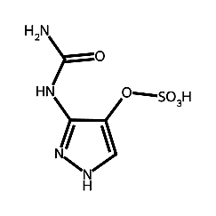 NC(=O)Nc1n[nH]cc1OS(=O)(=O)O